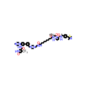 Cc1ncsc1-c1ccc([C@H](C)NC(=O)[C@@H]2C[CH]CN2C(=O)[C@@H](NC(=O)CCCCCCCCCC(=O)NCCN2CCN(Cc3cccc(-c4ccc(N5CCN(C)CC5)c(NC(=O)c5c[nH]c(=O)cc5C(F)(F)F)c4)c3)CC2)C(C)(C)C)cc1